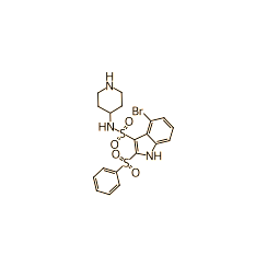 O=S(=O)(NC1CCNCC1)c1c(S(=O)(=O)c2ccccc2)[nH]c2cccc(Br)c12